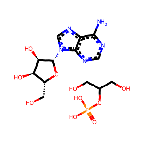 Nc1ncnc2c1ncn2[C@@H]1O[C@H](CO)[C@@H](O)[C@H]1O.O=P(O)(O)OC(CO)CO